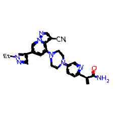 C=C(C(N)=O)c1ccc(N2CCN(c3cc(-c4cnn(CC)c4)cn4ncc(C#N)c34)CC2)cn1